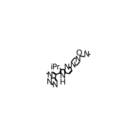 CC(C)c1c(-c2cn(C)c3ncncc23)[nH]c2ccc(N3CCN(C(=O)CN(C)C)CC3)nc12